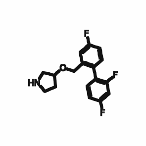 Fc1ccc(-c2ccc(F)cc2COC2CCNC2)c(F)c1